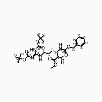 COC(=O)C(O)[C@H](CCCN/C(=N/C(=O)OC(C)(C)C)NC(=O)OC(C)(C)C)NC(=O)OCc1ccccc1